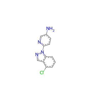 Nc1ccc(-n2ncc3c(Cl)cccc32)nc1